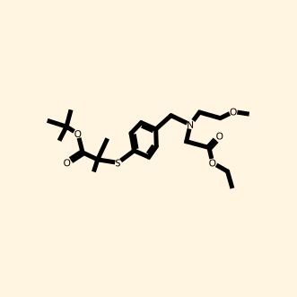 CCOC(=O)CN(CCOC)Cc1ccc(SC(C)(C)C(=O)OC(C)(C)C)cc1